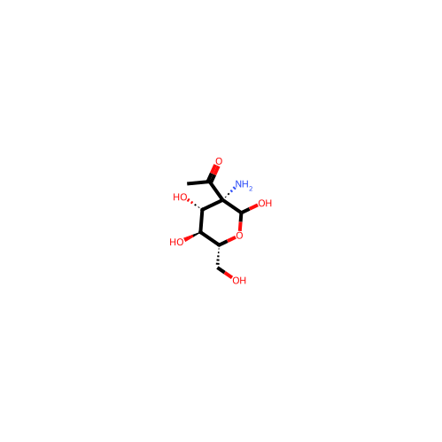 CC(=O)[C@@]1(N)C(O)O[C@H](CO)[C@@H](O)[C@@H]1O